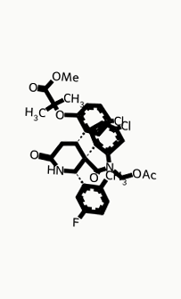 COC(=O)C(C)(C)Oc1ccc(Cl)cc1[C@H]1CC(=O)N[C@@H](c2cc(F)ccc2C)[C@]12C(=O)N(COC(C)=O)c1cc(Cl)ccc12